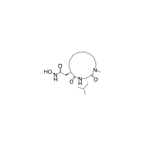 CC(C)C[C@@H]1NC(=O)[C@@H](CC(=O)NO)CCCCCCCCN(C)C1=O